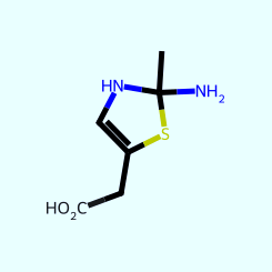 CC1(N)NC=C(CC(=O)O)S1